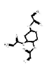 C=CC(=O)OC1CCC(OC(=O)C=C)C(OC(=O)C=C)C1